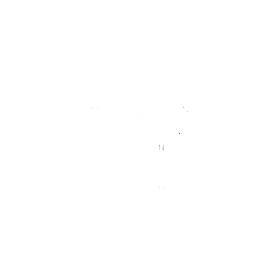 CCC(=O)c1ccc(OCc2ccccc2)c(F)c1N=[N+]=[N-]